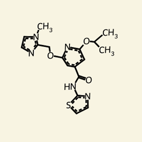 CC(C)Oc1cc(C(=O)Nc2nccs2)cc(OCc2nccn2C)n1